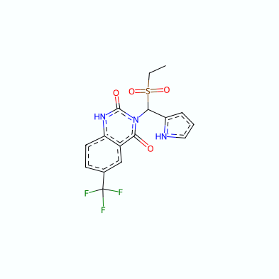 CCS(=O)(=O)C(c1ccc[nH]1)n1c(=O)[nH]c2ccc(C(F)(F)F)cc2c1=O